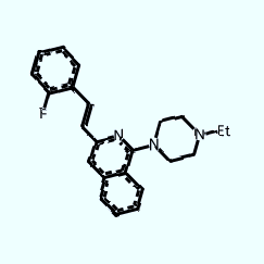 CCN1CCN(c2nc(C=Cc3ccccc3F)cc3ccccc23)CC1